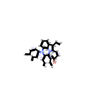 C=C/C=C\C(=C/C=C)N1C(=C/C=C)/C(=C\C=C)n2c(/C=C\C(=C)Br)c(C=C)c3cccc1c32